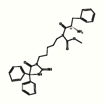 COC(=O)N(CCCCCN1C(=N)NC(c2ccccc2)(c2ccccc2)C1=O)C(=O)[C@@H](N)Cc1ccccc1